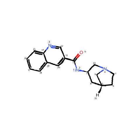 O=C(N[C@@H]1C[C@H]2CCN(C2)C1)c1cnc2ccccc2c1